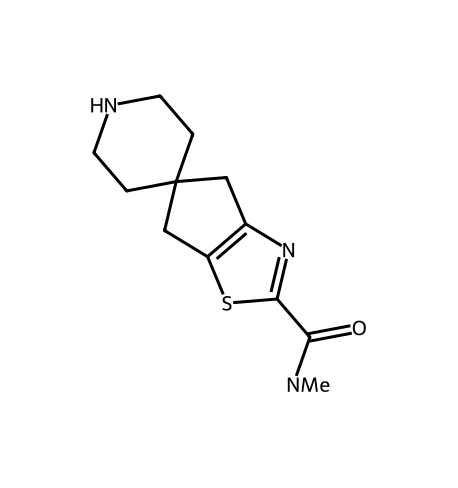 CNC(=O)c1nc2c(s1)CC1(CCNCC1)C2